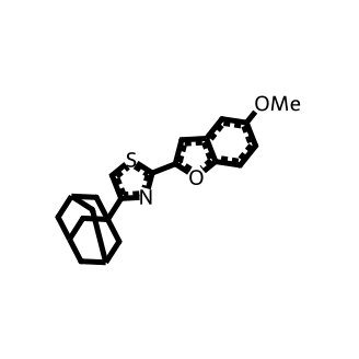 COc1ccc2oc(-c3nc(C45CC6CC(CC(C6)C4)C5)cs3)cc2c1